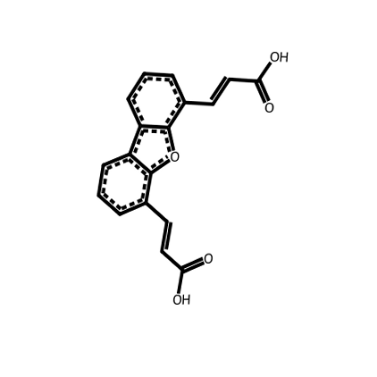 O=C(O)/C=C/c1cccc2c1oc1c(/C=C/C(=O)O)cccc12